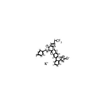 O=c1c2cc(CC(F)(F)F)sc2n(Cc2ccc(-c3ccccc3-c3noc([O-])n3)cc2)c(=O)n1CCc1ccc(F)cc1.[K+]